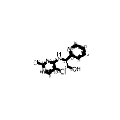 OC[C@@H](Nc1nc(Cl)ncc1Cl)c1ccccn1